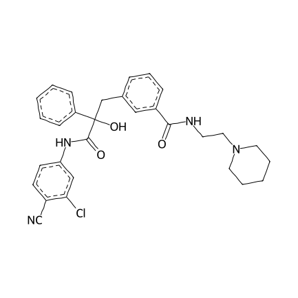 N#Cc1ccc(NC(=O)C(O)(Cc2cccc(C(=O)NCCN3CCCCC3)c2)c2ccccc2)cc1Cl